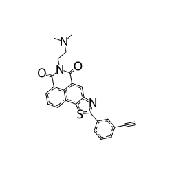 C#Cc1cccc(-c2nc3cc4c5c(cccc5c3s2)C(=O)N(CCN(C)C)C4=O)c1